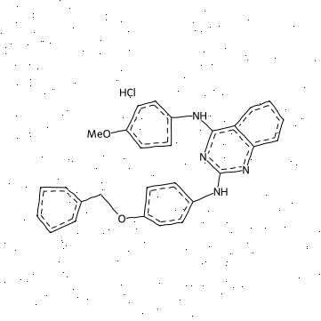 COc1ccc(Nc2nc(Nc3ccc(OCc4ccccc4)cc3)nc3ccccc23)cc1.Cl